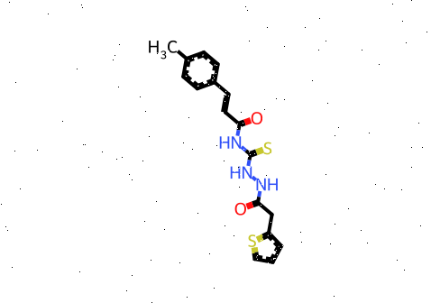 Cc1ccc(/C=C/C(=O)NC(=S)NNC(=O)Cc2cccs2)cc1